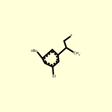 [CH2]C(CF)c1cc(CC)cc(CCCC)c1